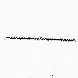 CCCCCCCCCCCCCCCCCCCCCCCCCCCCOC(=O)CCCCCCCCCCCCCCCCCCCCCCCCCC